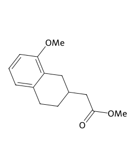 COC(=O)CC1CCc2cccc(OC)c2C1